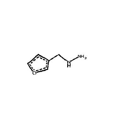 NNCc1ccoc1